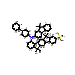 CC1(C)c2ccccc2-c2ccc(N(c3ccc(-c4ccccc4)cc3)c3cccc4c3-c3cc5c(cc3C4(C)C)-c3ccc(S(C)(C)C)cc3C5(C)C)cc21